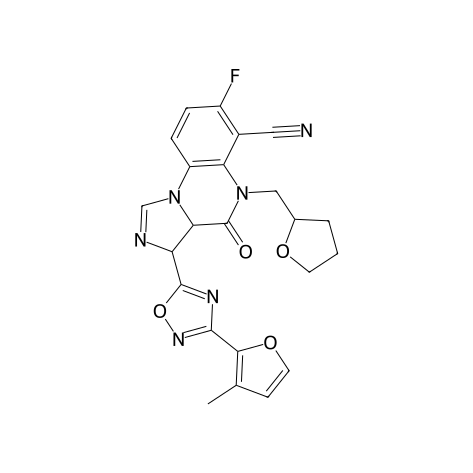 Cc1ccoc1-c1noc(C2N=CN3c4ccc(F)c(C#N)c4N(CC4CCCO4)C(=O)C23)n1